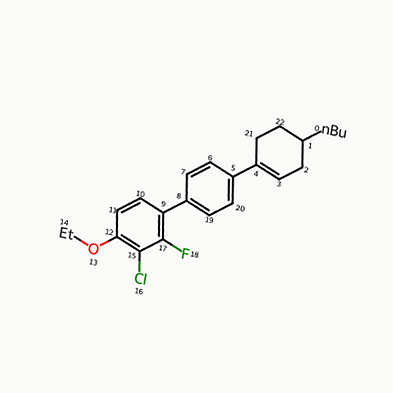 CCCCC1CC=C(c2ccc(-c3ccc(OCC)c(Cl)c3F)cc2)CC1